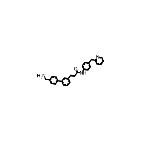 NCc1ccc(-c2cccc(/C=C/C(=O)Nc3ccc(Cc4ccccn4)cc3)c2)cc1